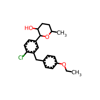 CCOc1ccc(Cc2cc(C3OC(C)CCC3O)ccc2Cl)cc1